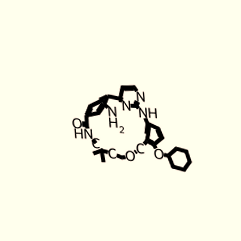 CC1(C)CCOCc2cc(ccc2OC2CCCCC2)Nc2nccc(n2)-c2ccc(cc2N)C(=O)NC1